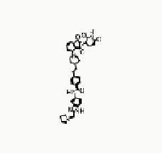 O=C1CCC(N2C(=O)c3cccc(N4CCC(CCc5ccc(C(=O)Nc6ccc7[nH]c(CN8CCCC8)nc7c6)cc5)CC4)c3C2=O)C(=O)N1